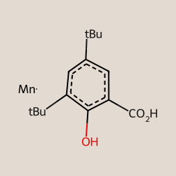 CC(C)(C)c1cc(C(=O)O)c(O)c(C(C)(C)C)c1.[Mn]